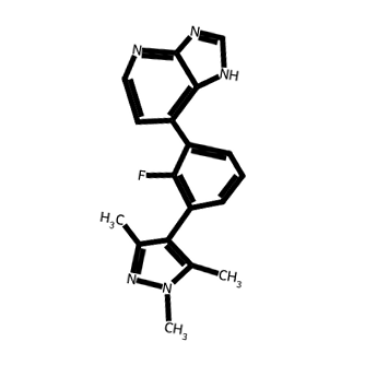 Cc1nn(C)c(C)c1-c1cccc(-c2ccnc3nc[nH]c23)c1F